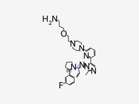 C=C/C(=N\n1c(-c2cccc(N3CCN(CCOCCCN)CC3)n2)cnc1C)N1CCC[C@@H]1c1cccc(F)c1